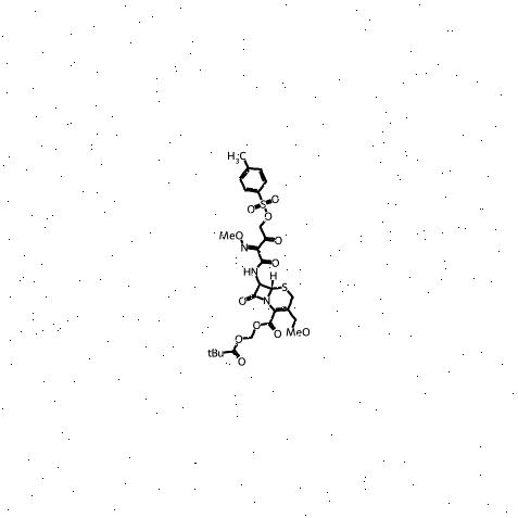 COCC1=C(C(=O)OCOC(=O)C(C)(C)C)N2C(=O)C(NC(=O)C(=NOC)C(=O)COS(=O)(=O)c3ccc(C)cc3)[C@@H]2SC1